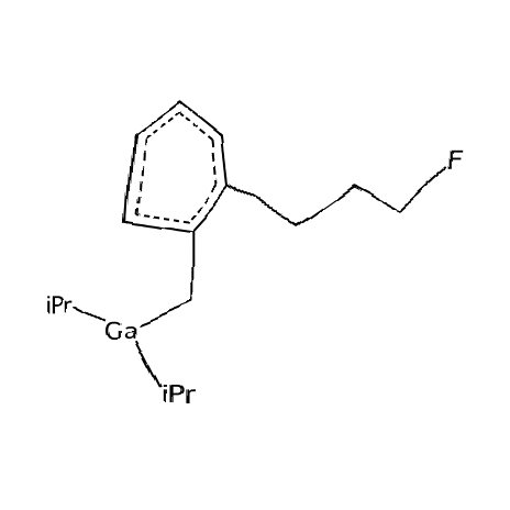 C[CH](C)[Ga]([CH2]c1ccccc1CCCF)[CH](C)C